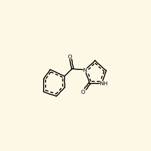 O=C(c1ccccc1)n1cc[nH]c1=O